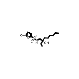 CCCCCC[C@@](O)(CC)CNS(=O)(=O)c1ccc(Cl)s1